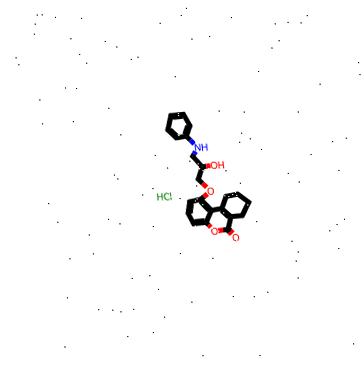 Cl.O=c1oc2cccc(OCC(O)CNc3ccccc3)c2c2c1CCCC2